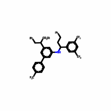 CCOC(=O)C(CC(C)C)c1cc(NC(CCC(C)C)c2cc(C(F)(F)F)cc(C(F)(F)F)c2)cc(-c2ccc(C(F)(F)F)cc2)c1